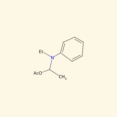 CCN(c1ccccc1)C(C)OC(C)=O